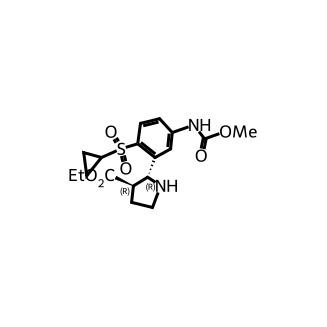 CCOC(=O)[C@@H]1CCN[C@H]1c1cc(NC(=O)OC)ccc1S(=O)(=O)C1CC1